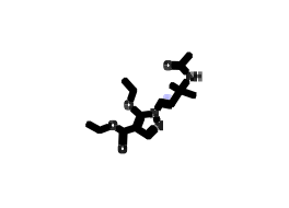 CCOC(=O)c1cnn(/C=C/C(C)(C)NC(C)=O)c1OCC